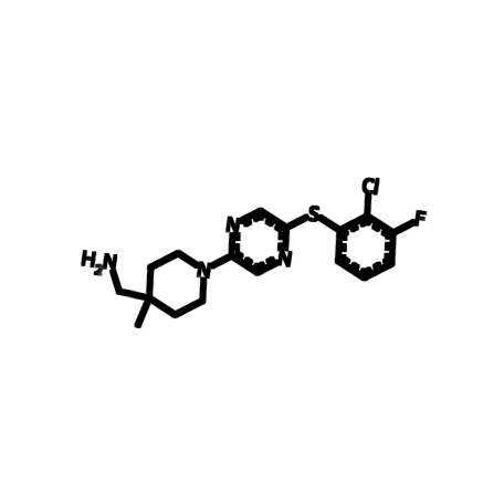 CC1(CN)CCN(c2cnc(Sc3cccc(F)c3Cl)cn2)CC1